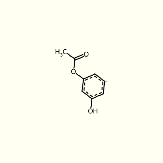 CC(=O)Oc1c[c]cc(O)c1